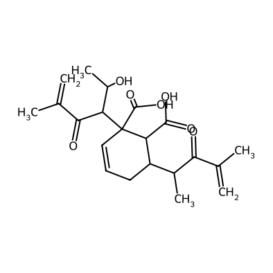 C=C(C)C(=O)C(C)C1CC=CC(C(=O)O)(C(C(=O)C(=C)C)C(C)O)C1C(=O)O